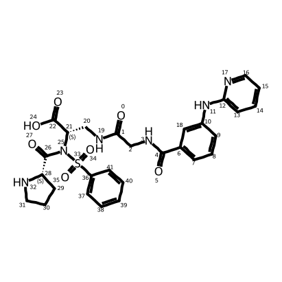 O=C(CNC(=O)c1cccc(Nc2ccccn2)c1)NC[C@@H](C(=O)O)N(C(=O)[C@@H]1CCCN1)S(=O)(=O)c1ccccc1